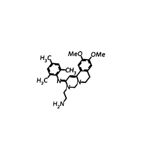 COc1cc2c(cc1OC)C1=CC(=Nc3c(C)cc(C)cc3C)N(CCN)CN1CC2